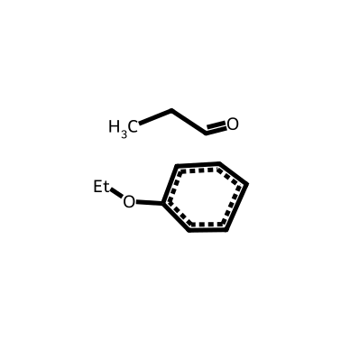 CCC=O.CCOc1ccccc1